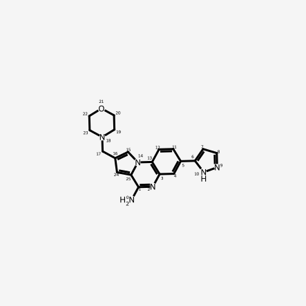 Nc1nc2cc(-c3ccn[nH]3)ccc2n2cc(CN3CCOCC3)cc12